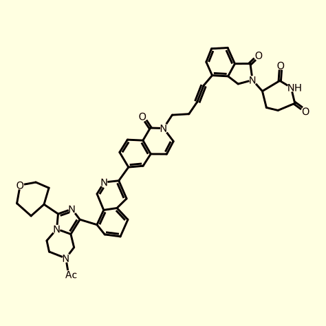 CC(=O)N1CCn2c(C3CCOCC3)nc(-c3cccc4cc(-c5ccc6c(=O)n(CCC#Cc7cccc8c7CN(C7CCC(=O)NC7=O)C8=O)ccc6c5)ncc34)c2C1